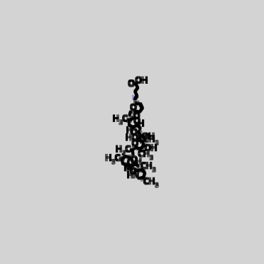 C=C(C[C@@]12C[C@@H](C)C[C@@H](O1)[C@H]1O[C@]3(C[C@H]1O2)NC[C@H](C)C[C@@H]3C)[C@H]1O[C@@](O)([C@H](O)[C@@H]2C[C@H]3O[C@@]4(CC[C@]5(CC=C[C@@H](/C=C/CCC(=O)O)O5)O4)[C@H](C)C[C@H]3O2)[C@H](C)[C@H](O)[C@@H]1C